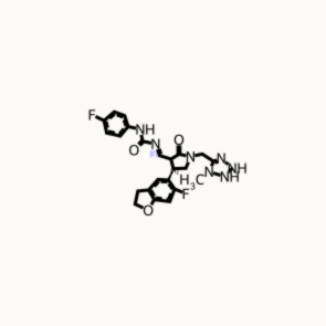 CN1NNN=C1CN1C[C@@H](c2cc3c(cc2F)OCC3)C(/C=N/C(=O)Nc2ccc(F)cc2)C1=O